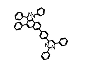 c1ccc(-c2cc(-c3ccc(-c4ccc5c(c4)cc(-c4ccccc4)c4c(-c6ccccc6)nn(-c6ccccc6)c45)cc3)nc(-c3ccccc3)n2)cc1